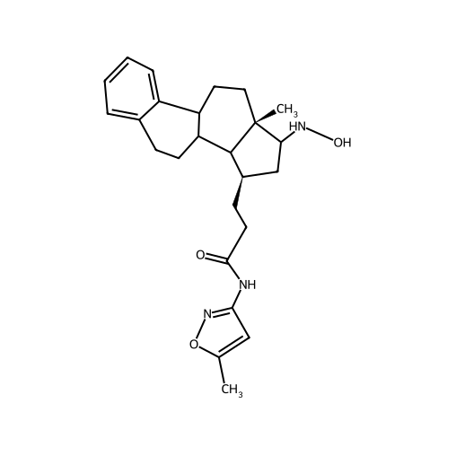 Cc1cc(NC(=O)CC[C@@H]2CC(NO)[C@@]3(C)CCC4c5ccccc5CCC4C23)no1